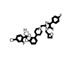 CC1(c2ccc(Cl)cc2F)Oc2cccc(C3CCN(Cc4nc(-c5ccc(F)cc5)c(I)n4CC4CCO4)CC3)c2O1